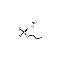 CCCOP([O-])(=S)[S-].[Na+].[Na+]